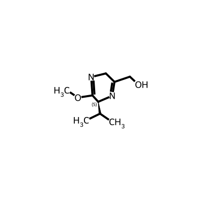 COC1=NCC(CO)=N[C@H]1C(C)C